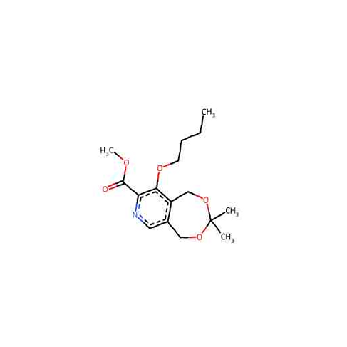 CCCCOc1c(C(=O)OC)ncc2c1COC(C)(C)OC2